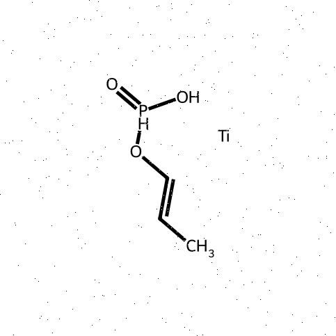 CC=CO[PH](=O)O.[Ti]